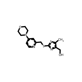 Cc1sc(SCc2cc(N3CCOCC3)c[c]n2)nc1CO